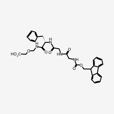 O=C(O)COCNC(=O)[C@H](Cc1ccccc1)NC(=O)CNC(=O)CNC(=O)OCC1c2ccccc2-c2ccccc21